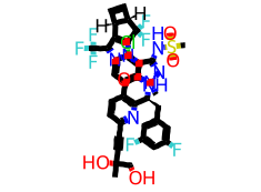 Cn1nc(NS(C)(=O)=O)c2c(Cl)ccc(-c3ccc(C#CC(C)(O)CO)nc3[C@H](Cc3cc(F)cc(F)c3)NC(=O)Cn3nc(C(F)(F)F)c4c3C(F)(F)[C@@H]3C=C[C@H]43)c21